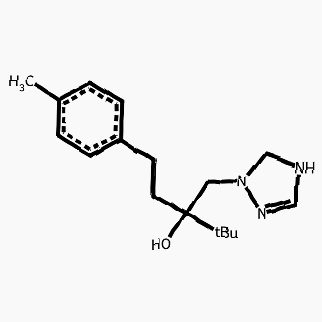 Cc1ccc(CCC(O)(CN2CNC=N2)C(C)(C)C)cc1